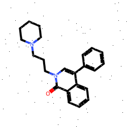 O=c1c2ccccc2c(-c2ccccc2)cn1CCCN1CCCCC1